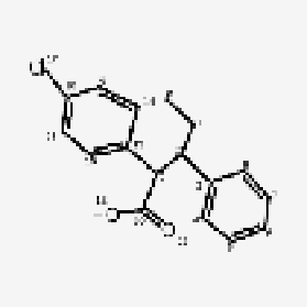 CCC(c1ccccc1)C(C(=O)O)c1ccc(Cl)cc1